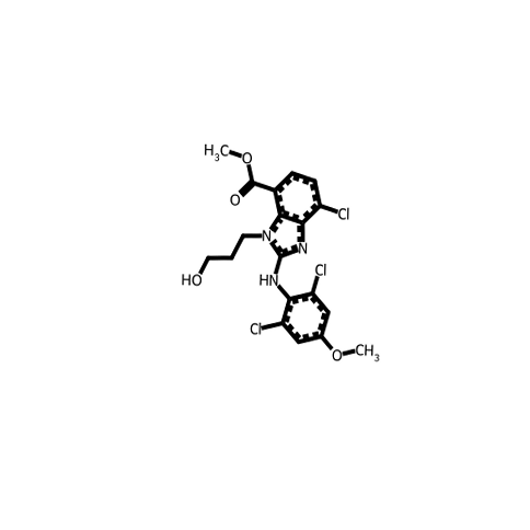 COC(=O)c1ccc(Cl)c2nc(Nc3c(Cl)cc(OC)cc3Cl)n(CCCO)c12